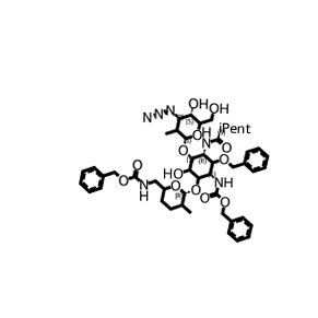 CCC[C@H](C)C(=O)N[C@@H]1C(OCc2ccccc2)[C@H](NC(=O)OCc2ccccc2)C(O[C@H]2OC(CNC(=O)OCc3ccccc3)CCC2C)C(O)[C@H]1O[C@H]1OC(CO)[C@@H](O)[C@H](N=[N+]=[N-])C1C